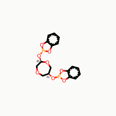 c1ccc2c(c1)OP(O[C@H]1COC[C@@H](OP3Oc4ccccc4O3)OC1)O2